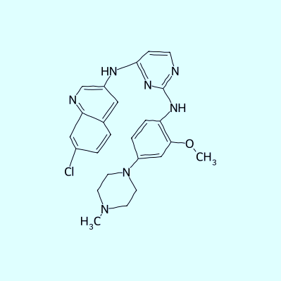 COc1cc(N2CCN(C)CC2)ccc1Nc1nccc(Nc2cnc3cc(Cl)ccc3c2)n1